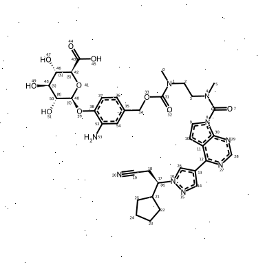 CN(CCN(C)C(=O)n1ccc2c(-c3cnn([C@H](CC#N)C4CCCC4)c3)ncnc21)C(=O)OCc1ccc(O[C@@H]2O[C@H](C(=O)O)[C@@H](O)[C@H](O)[C@H]2O)c(N)c1